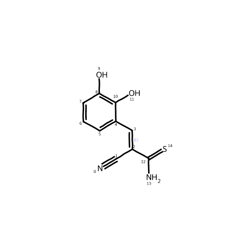 N#C/C(=C\c1cccc(O)c1O)C(N)=S